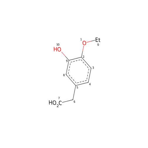 CCOc1ccc(CC(=O)O)cc1O